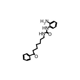 Nc1ccccc1NC(=O)NCCCCCCC(=O)c1ccccc1